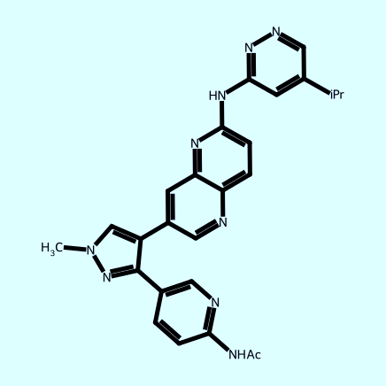 CC(=O)Nc1ccc(-c2nn(C)cc2-c2cnc3ccc(Nc4cc(C(C)C)cnn4)nc3c2)cn1